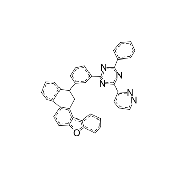 c1ccc(-c2nc(-c3cccc(C4Cc5c(ccc6oc7ccccc7c56)-c5ccccc54)c3)nc(-c3cccnn3)n2)cc1